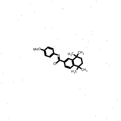 COc1ccc(N=C(Cl)c2ccc3c(c2)C(C)(C)CCC3(C)C)cc1